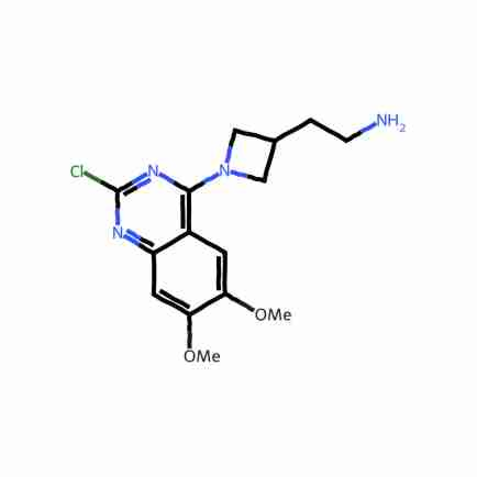 COc1cc2nc(Cl)nc(N3CC(CCN)C3)c2cc1OC